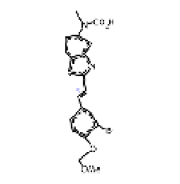 COCOc1ccc(/C=C/c2nc3cc(N(C)C(=O)O)ccc3s2)cc1Br